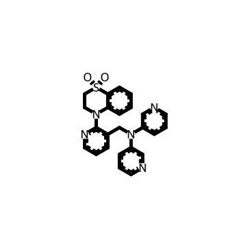 O=S1(=O)CCN(c2ncccc2CN(c2cccnc2)c2cccnc2)c2ccccc21